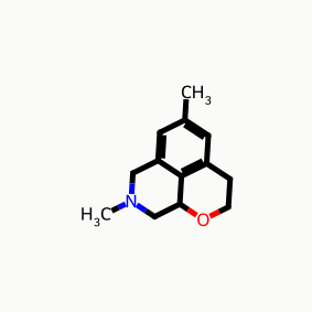 Cc1cc2c3c(c1)CN(C)CC3OCC2